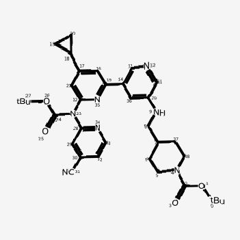 CC(C)(C)OC(=O)N1CCC(CNc2cncc(-c3cc(C4CC4)cc(N(C(=O)OC(C)(C)C)c4cc(C#N)ccn4)n3)c2)CC1